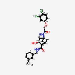 Cc1cccc(CNC(=O)C2=C3CC(NC(=O)COc4ccc(Cl)c(F)c4)(C3)CC2O)c1